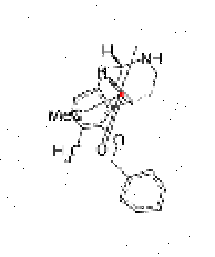 COC1C[C@@H]2[C@@H]3Cc4ccc(C)c(OCc5ccccc5)c4[C@]2(CCN3)CC1=O